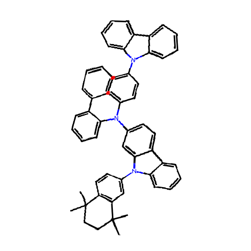 CC1(C)CCC(C)(C)c2cc(-n3c4ccccc4c4ccc(N(c5ccc(-n6c7ccccc7c7ccccc76)cc5)c5ccccc5-c5ccccc5)cc43)ccc21